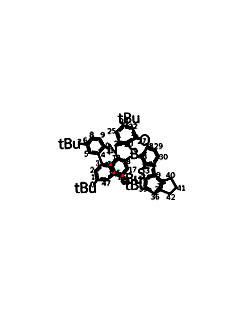 CC(C)(C)c1cc(-c2cc(C(C)(C)C)ccc2N2c3ccc(C(C)(C)C)cc3B3c4c(cc(C(C)(C)C)cc42)Oc2ccc4c(sc5ccc6c(c54)CCC6)c23)cc(C(C)(C)C)c1